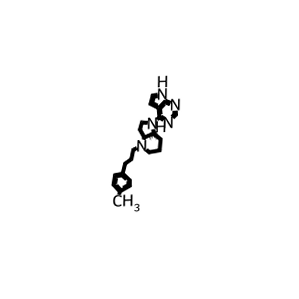 Cc1ccc(CCCN2CCC[C@@H]3C2CCN3c2ncnc3[nH]ccc23)cc1